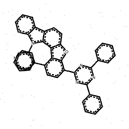 c1ccc(-c2nc(-c3ccccc3)nc(-c3ccc(-c4ccncc4)c4c3oc3ccc5c6ccccc6n(-c6ccccc6)c5c34)n2)cc1